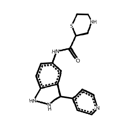 O=C(Nc1ccc2c(c1)C(c1ccncc1)NN2)C1CNCCS1